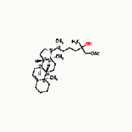 CC(=O)OCC(C)(O)CCC[C@@H](C)[C@H]1CC[C@H]2[C@@H]3CC=C4CCCC[C@]4(C)[C@H]3CC[C@]12C